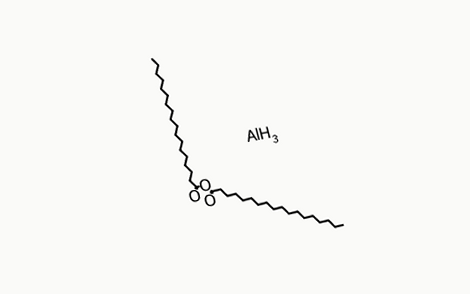 CCCCCCCCCCCCCCCCCC(=O)OC(=O)CCCCCCCCCCCCCCCCC.[AlH3]